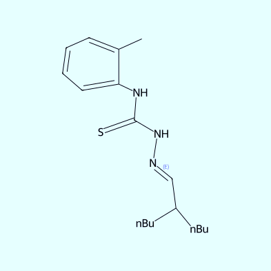 CCCCC(/C=N/NC(=S)Nc1ccccc1C)CCCC